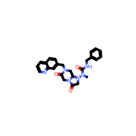 CN(C(=O)NCc1ccccc1)N1CC(=O)N2CC(=O)N(Cc3ccc4cccnc4c3)CC21